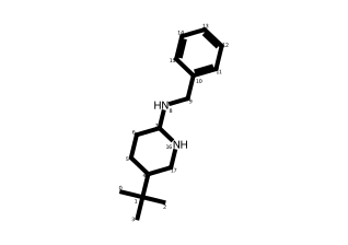 CC(C)(C)C1CCC(NCc2ccccc2)NC1